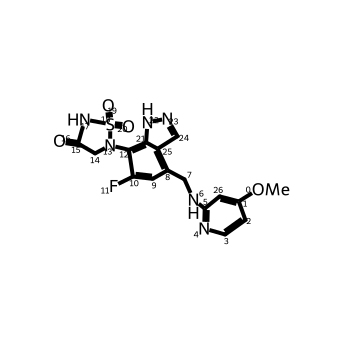 COc1ccnc(NCc2cc(F)c(N3CC(=O)NS3(=O)=O)c3[nH]ncc23)c1